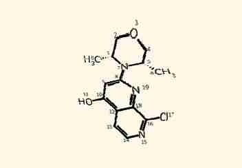 C[C@@H]1COC[C@H](C)N1c1cc(O)c2ccnc(Cl)c2n1